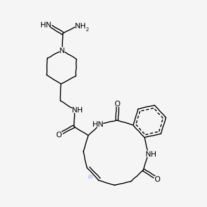 N=C(N)N1CCC(CNC(=O)C2C/C=C\CCC(=O)Nc3ccccc3C(=O)N2)CC1